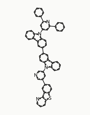 c1ccc(-c2cc(-n3c4ccccc4c4cc(-c5ccc6c(c5)c5ccccc5n6-c5cncc(-c6ccc7sc8cccnc8c7c6)c5)ccc43)cc(-c3ccccc3)n2)cc1